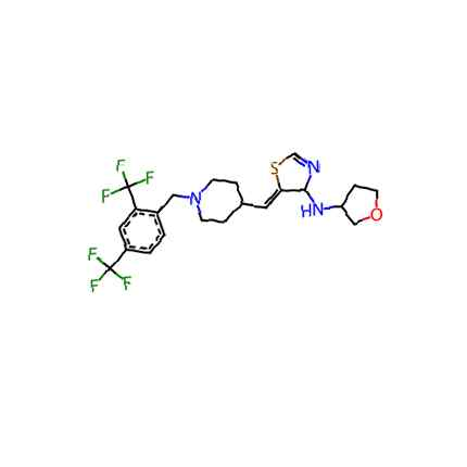 FC(F)(F)c1ccc(CN2CCC(/C=C3\SC=NC3NC3CCOC3)CC2)c(C(F)(F)F)c1